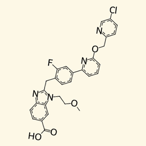 COCCn1c(Cc2ccc(-c3cccc(OCc4ccc(Cl)cn4)n3)cc2F)nc2ccc(C(=O)O)cc21